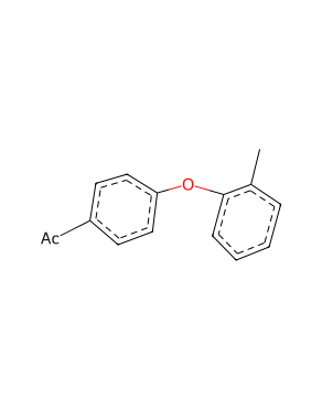 CC(=O)c1ccc(Oc2ccccc2C)cc1